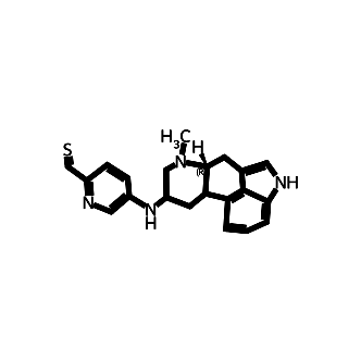 CN1CC(Nc2ccc(C=S)nc2)CC2c3cccc4[nH]cc(c34)C[C@H]21